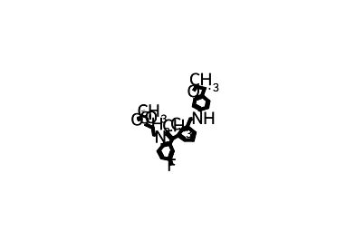 Cc1c(CNc2ccc3c(c2)OC(C)[CH]3)cccc1-c1c(C)n(CCCS(C)(=O)=O)c2ccc(F)cc12